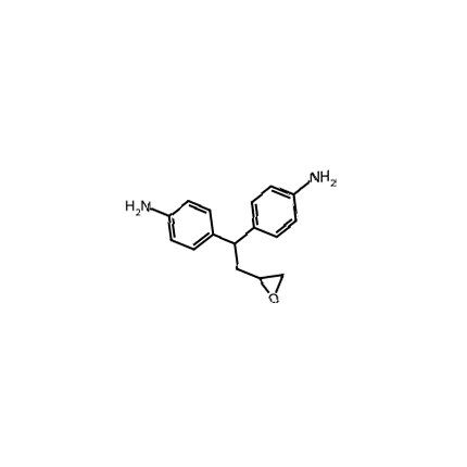 Nc1ccc(C(CC2CO2)c2ccc(N)cc2)cc1